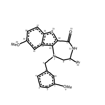 COc1cccc(CN2CC(C(C)C)NC(=O)c3sc4ccc(OC)cc4c32)c1